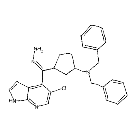 NN=C(c1c(Cl)cnc2[nH]ccc12)C1CCC(N(Cc2ccccc2)Cc2ccccc2)C1